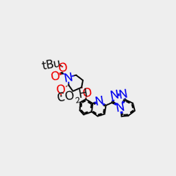 CC(C)(C)OC(=O)N1CC[C@H](Oc2cccc3ccc(-c4nnc5ccccn45)nc23)C[C@@H]1OC(=O)O